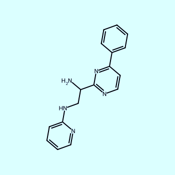 NC(CNc1ccccn1)c1nccc(-c2ccccc2)n1